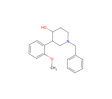 COc1ccccc1C1CN(Cc2ccccc2)CCC1O